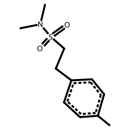 Cc1ccc(CCS(=O)(=O)N(C)C)cc1